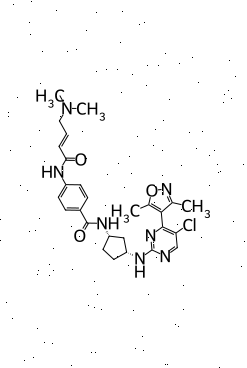 Cc1noc(C)c1-c1nc(N[C@@H]2CC[C@H](NC(=O)c3ccc(NC(=O)/C=C/CN(C)C)cc3)C2)ncc1Cl